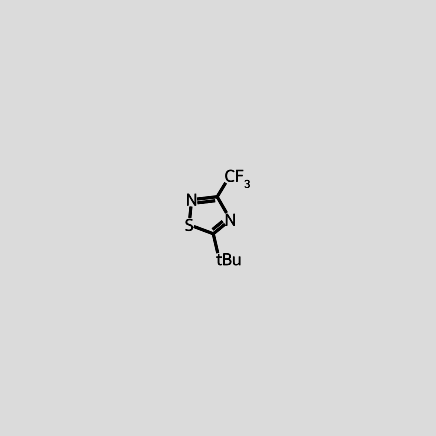 CC(C)(C)c1nc(C(F)(F)F)ns1